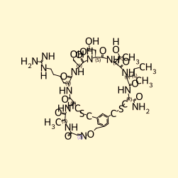 CC[C@H](C)[C@@H]1NC(=O)[C@H]([C@@H](C)O)NC(=O)[C@H](CC(=O)O)NC(=O)[C@H](CO)NC(=O)[C@H](CCCCNC(=N)N)NC(=O)[C@@H]2CSCc3cc(cc(c3)CSC[C@@H](C(N)=O)NC1=O)CO/N=C\C(=O)N[C@@H](C)C(=O)N2